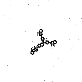 c1ccc2ncc(-c3ccc(N(c4ccc(-c5cnc6ccccc6c5)cc4)c4ccc5cc(-c6ccc7c(n6)oc6ccccc67)ccc5c4)cc3)cc2c1